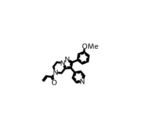 C=CC(=O)N1CCn2nc(-c3cccc(OC)c3)c(-c3ccncc3)c2C1